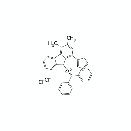 Cc1cc(C2=CC=CC2)c2c(c1C)-c1ccccc1[CH]2[Zr+2]=[C](c1ccccc1)c1ccccc1.[Cl-].[Cl-]